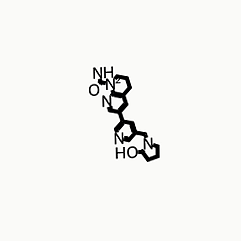 NC(=O)N1CCCc2cc(-c3cncc(CN4CCCC4O)c3)cnc21